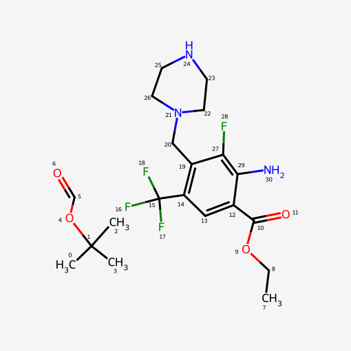 CC(C)(C)OC=O.CCOC(=O)c1cc(C(F)(F)F)c(CN2CCNCC2)c(F)c1N